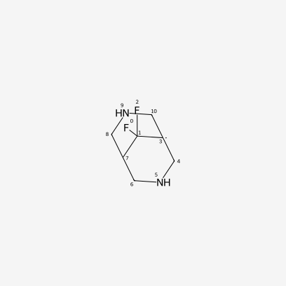 FC1(F)[C]2CNCC1CNC2